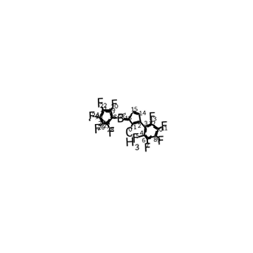 CC1=C(c2c(F)c(F)c(F)c(F)c2F)C=CC1=Bc1c(F)c(F)c(F)c(F)c1F